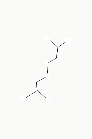 BrC(Br)CSSCC(Br)Br